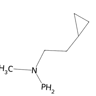 CN(P)CCC1CC1